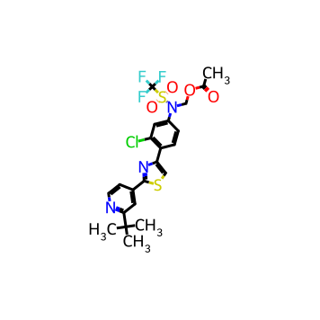 CC(=O)OCN(c1ccc(-c2csc(-c3ccnc(C(C)(C)C)c3)n2)c(Cl)c1)S(=O)(=O)C(F)(F)F